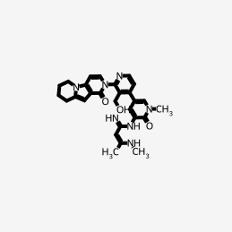 CN/C(C)=C\C(=N)Nc1cc(-c2ccnc(-n3ccc4c(cc5n4CCCC5)c3=O)c2CO)cn(C)c1=O